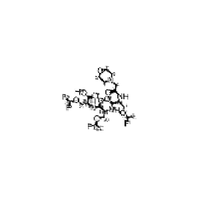 O=C(CN1CCOCC1)N[C@@H](COC(F)F)C(=O)N[C@@H](COC(F)F)C(=O)N[C@@H](COC(F)F)C(=O)O